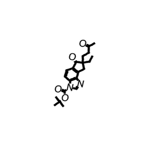 CCC1(CCC(C)=O)Cc2c(ccc3c2ncn3C(=O)OC(C)(C)C)C1=O